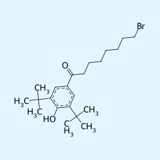 CC(C)(C)c1cc(C(=O)CCCCCCCBr)cc(C(C)(C)C)c1O